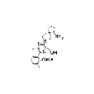 COc1c(C)cccc1-c1nc(CO)c(N2CCC3(CCC[C@H]3N)CC2)nc1C